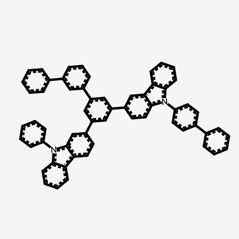 c1ccc(-c2ccc(-n3c4ccccc4c4cc(-c5cc(-c6cccc(-c7ccccc7)c6)cc(-c6ccc7c8ccccc8n(-c8ccccc8)c7c6)c5)ccc43)cc2)cc1